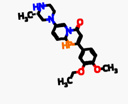 CCOc1cc(C2=CC(=O)N3C=C(N4CCN[C@@H](C)C4)C=CC3P2)ccc1OC